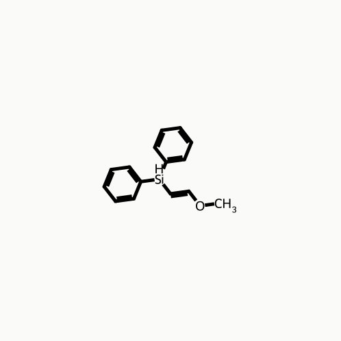 COC=C[SiH](c1ccccc1)c1ccccc1